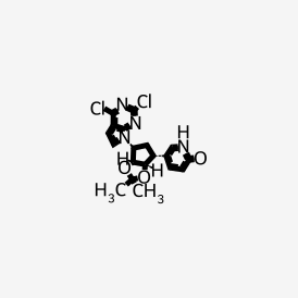 CC1(C)O[C@@H]2[C@H](O1)[C@@H](c1ccc(=O)[nH]c1)C[C@H]2n1ccc2c(Cl)nc(Cl)nc21